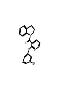 CCc1cccc(Oc2ncccc2C(=O)N2CCCc3ccccc32)c1